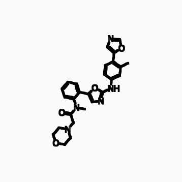 Cc1cc(Nc2ncc(-c3ccccc3N(C)C(=O)CN3CCOCC3)o2)ccc1-c1cnco1